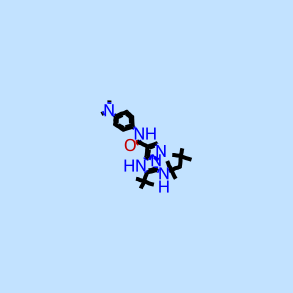 CN(C)c1ccc(NC(=O)c2cnn3c(NC(C)(C)CC(C)(C)C)c(C(C)(C)C)[nH]c23)cc1